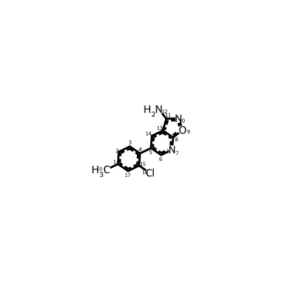 Cc1ccc(-c2cnc3onc(N)c3c2)c(Cl)c1